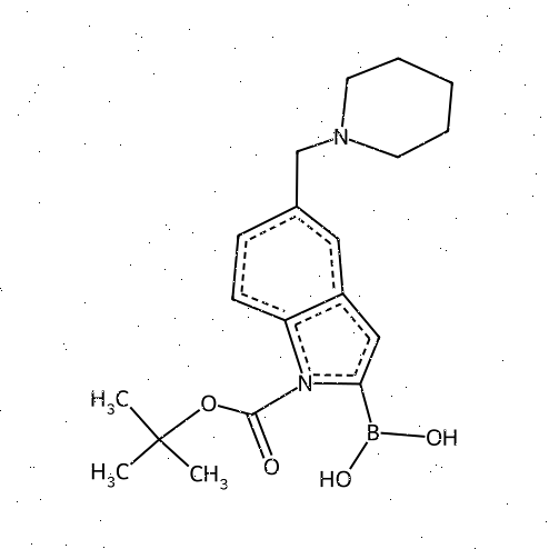 CC(C)(C)OC(=O)n1c(B(O)O)cc2cc(CN3CCCCC3)ccc21